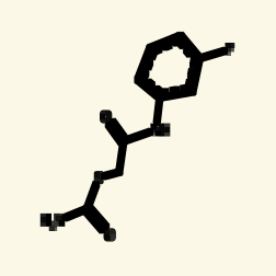 NC(=O)SCC(=O)Nc1cccc(F)c1